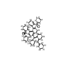 O=P1(C2=CC=CCC2)c2ccccc2-c2c1ccc1c(-c3c4ccccc4c(-c4ccccc4)c4ccccc34)cc3c(c21)-c1ccccc1P3(=O)c1ccccc1